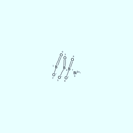 O=B[O-].O=B[O-].O=B[O-].[Bi+3]